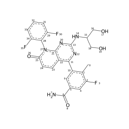 Cc1c(F)cc(C(N)=O)cc1-c1nc(NC(CO)CO)nc2c1ccc(=O)n2-c1c(F)cccc1F